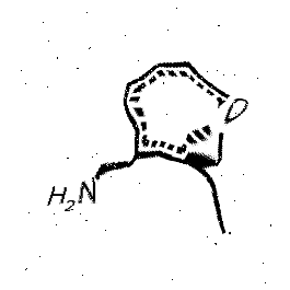 [CH2]c1occc1N